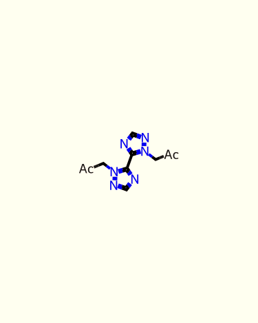 CC(=O)Cn1ncnc1-c1ncnn1CC(C)=O